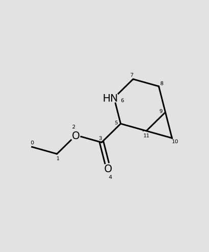 CCOC(=O)C1NCCC2C[C]21